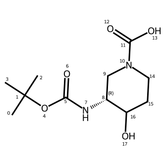 CC(C)(C)OC(=O)N[C@@H]1CN(C(=O)O)CCC1O